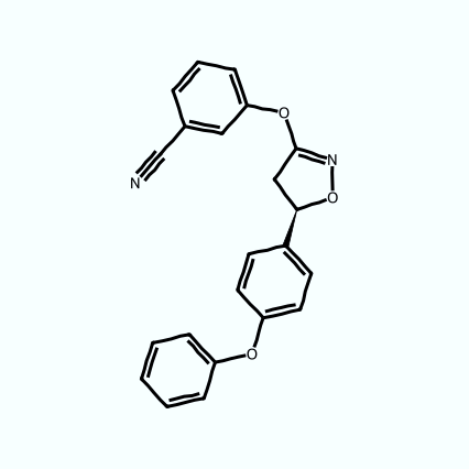 N#Cc1cccc(OC2=NO[C@@H](c3ccc(Oc4ccccc4)cc3)C2)c1